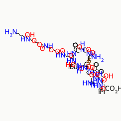 CC[C@H](C)[C@@H]1NC(=O)[C@@H](NC(=O)[C@@H]2CCCN2C(=O)[C@@H](NC(=O)[C@H](Cc2cnc[nH]2)NC(=O)[C@H](CCO)NC(=O)[C@H](CCC(=O)O)NC(=O)CC(C)C)C(c2ccccc2)c2ccccc2)CSSC[C@@H](C(N)=O)NC(=O)CNC(=O)C[C@H](Cc2ccccc2)NC(=O)[C@H](CCCCNC(=O)COCCOCCNC(=O)COCCOCCNC(O)CCCCCN)NC1O